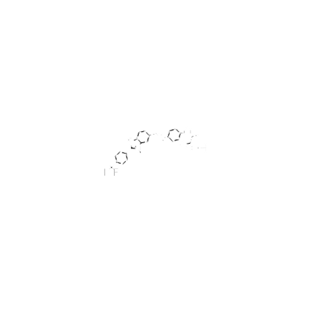 CC(Oc1ccc(SCc2ccc3sc(-c4ccc(C(F)(F)F)cc4)nc3c2)cc1)C(=O)O